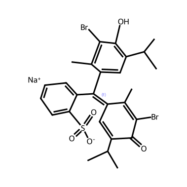 CC1=C(Br)C(=O)C(C(C)C)=C/C1=C(\c1ccccc1S(=O)(=O)[O-])c1cc(C(C)C)c(O)c(Br)c1C.[Na+]